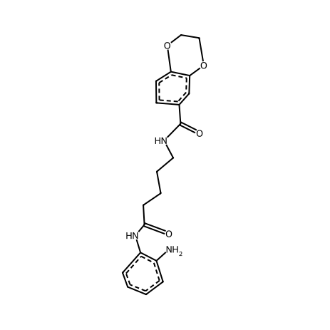 Nc1ccccc1NC(=O)CCCCNC(=O)c1ccc2c(c1)OCCO2